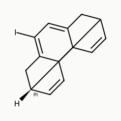 IC1=C2C[C@H]3C=CC2C2C=CC3CC2=C1